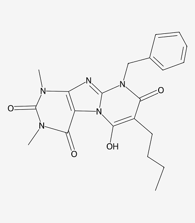 CCCCc1c(O)n2c3c(=O)n(C)c(=O)n(C)c3nc2n(Cc2ccccc2)c1=O